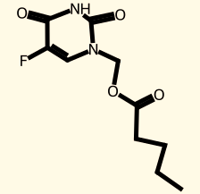 CCCCC(=O)OCn1cc(F)c(=O)[nH]c1=O